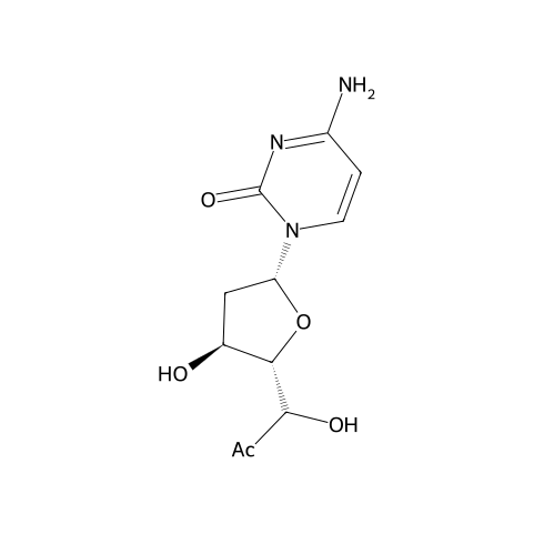 CC(=O)C(O)[C@H]1O[C@@H](n2ccc(N)nc2=O)C[C@@H]1O